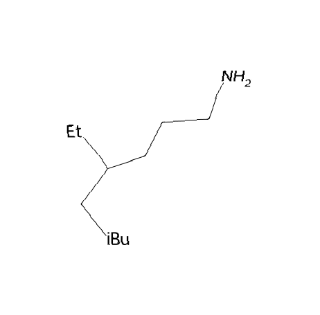 CCC(C)CC(CC)CCCN